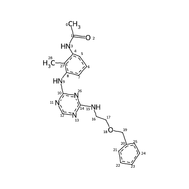 CC(=O)Nc1cccc(Nc2ncnc(NCCOCc3ccccc3)n2)c1C